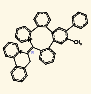 Cc1cc2[n+](cc1-c1ccccc1)-c1ccccc1-c1cccc[n+]1/C(=C1/Cc3ccccc3-c3cccc[n+]31)c1ccccc1-2